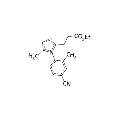 CCOC(=O)CCc1ccc(C)n1-c1ccc(C#N)cc1C